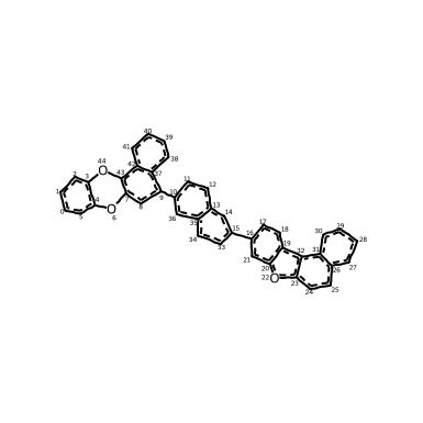 c1ccc2c(c1)Oc1cc(-c3ccc4cc(-c5ccc6c(c5)oc5ccc7ccccc7c56)ccc4c3)c3ccccc3c1O2